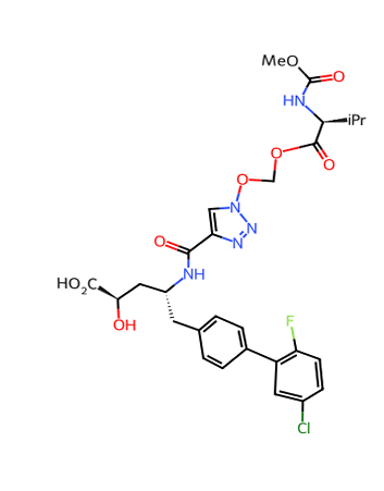 COC(=O)N[C@H](C(=O)OCOn1cc(C(=O)N[C@H](Cc2ccc(-c3cc(Cl)ccc3F)cc2)C[C@@H](O)C(=O)O)nn1)C(C)C